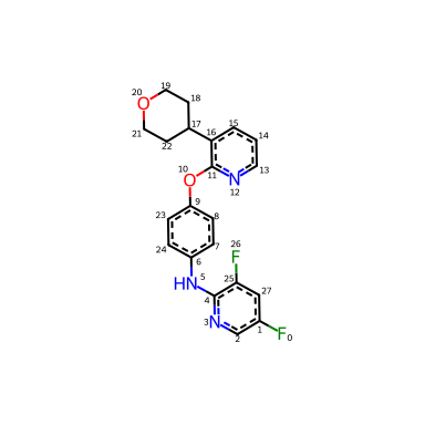 Fc1cnc(Nc2ccc(Oc3ncccc3C3CCOCC3)cc2)c(F)c1